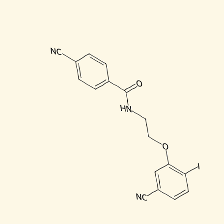 N#Cc1ccc(C(=O)NCCOc2cc(C#N)ccc2I)cc1